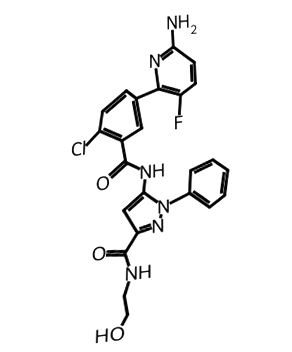 Nc1ccc(F)c(-c2ccc(Cl)c(C(=O)Nc3cc(C(=O)NCCO)nn3-c3ccccc3)c2)n1